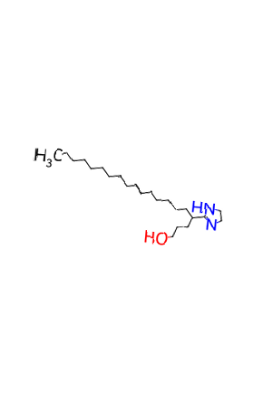 CCCCCCCCCCCCCCCCC(CCCO)C1=NCCN1